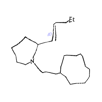 CC/C=C/C1CCCN1CC1CCCCC1